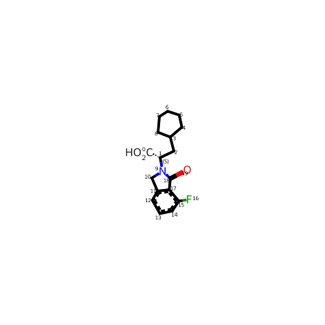 O=C(O)[C@H](CC1CCCCC1)N1Cc2cccc(F)c2C1=O